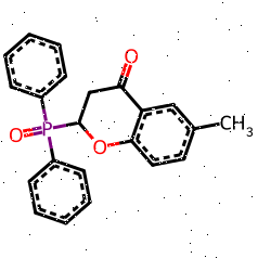 Cc1ccc2c(c1)C(=O)CC(P(=O)(c1ccccc1)c1ccccc1)O2